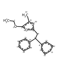 CCOc1oc(CC(c2ccccc2)c2ccccc2)nc1C